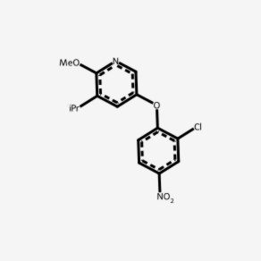 COc1ncc(Oc2ccc([N+](=O)[O-])cc2Cl)cc1C(C)C